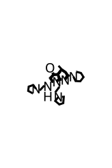 Cc1cc(N2CCCCC2)nc2c1c(=O)cc(NCCN1CCCC1)n2CCN1CCCC1